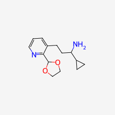 NC(CCc1cccnc1C1OCCO1)C1CC1